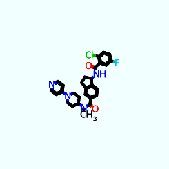 CN(C(=O)c1ccc2c(c1)CCC2NC(=O)c1cc(F)ccc1Cl)C1CCN(c2ccncc2)CC1